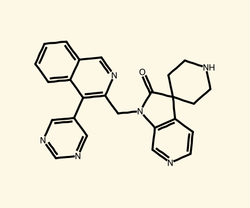 O=C1N(Cc2ncc3ccccc3c2-c2cncnc2)c2cnccc2C12CCNCC2